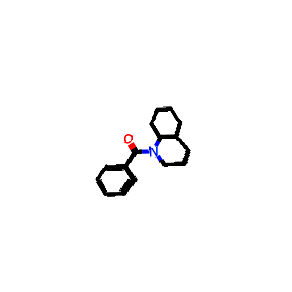 O=C(c1ccccc1)N1CCCC2CCCCC21